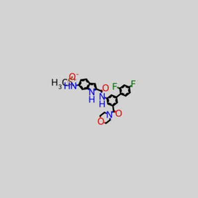 C[S+]([O-])Nc1ccc2cc(C(=O)Nc3cc(C(=O)N4CCOCC4)cc(-c4ccc(F)cc4F)c3)[nH]c2c1